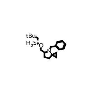 CC(C)(C)C[SiH2]OCC1CCC2(CC2)N1Cc1ccccc1